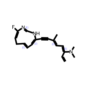 C=C/C(=C\C=C(/C)C#C/C1=C/C=C/CC=C(F)/N=C/N1)N(C)C